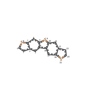 c1cc2cc3c(cc2s1)sc1cc2ccsc2cc13